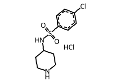 Cl.O=S(=O)(NC1CCNCC1)c1ccc(Cl)cc1